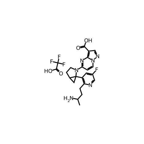 CC(N)CCc1ncc(F)cc1C12CC1CCN2c1ccn2ncc(C(=O)O)c2n1.O=C(O)C(F)(F)F